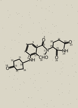 CN(C(=O)c1cccc(NC2CCC(=O)CC2)c1C=O)C1CCC(=O)NC1=O